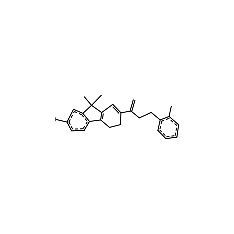 C=C(CCc1ccccc1C)C1=CC2=C(CC1)c1ccc(I)cc1C2(C)C